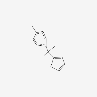 Cc1ccc(C(C)(C)C2=CC=CC2)cc1